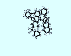 CC1(C)c2ccccc2-c2cc(N(c3cccc4c3oc3ccccc34)c3c(-c4ccccc4)nn4cc5ccccc5cc34)ccc21